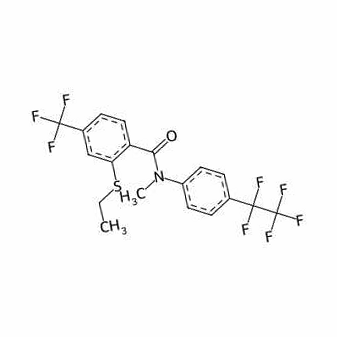 CCSc1cc(C(F)(F)F)ccc1C(=O)N(C)c1ccc(C(F)(F)C(F)(F)F)cc1